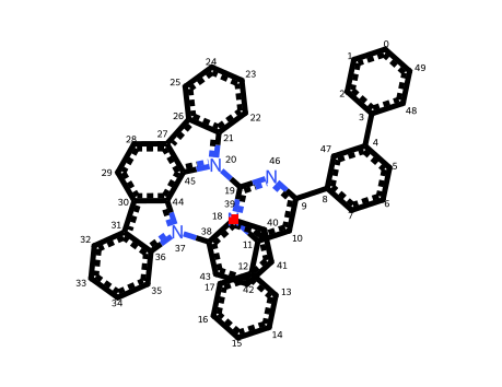 c1ccc(-c2cccc(-c3cc(-c4ccccc4)nc(-n4c5ccccc5c5ccc6c7ccccc7n(-c7ccccc7)c6c54)n3)c2)cc1